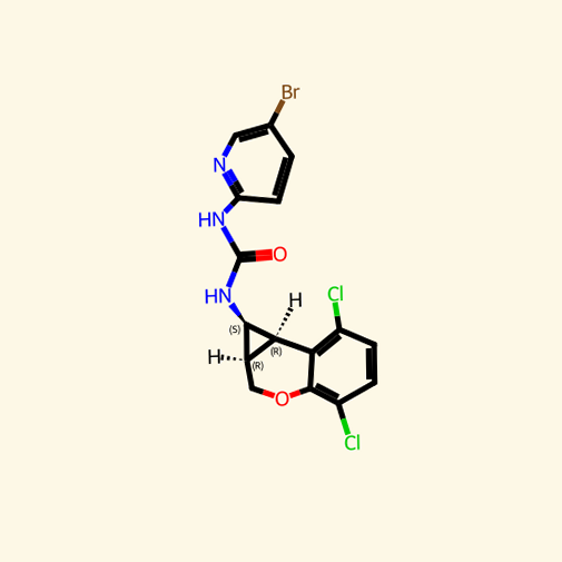 O=C(Nc1ccc(Br)cn1)N[C@@H]1[C@@H]2COc3c(Cl)ccc(Cl)c3[C@@H]21